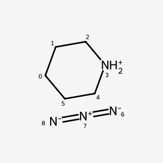 C1CC[NH2+]CC1.[N-]=[N+]=[N-]